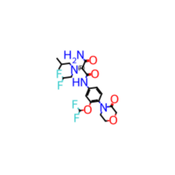 CC(C)CN(CC(F)F)[C@H](C(N)=O)C(=O)Nc1ccc(N2CCOCC2=O)c(OC(F)F)c1